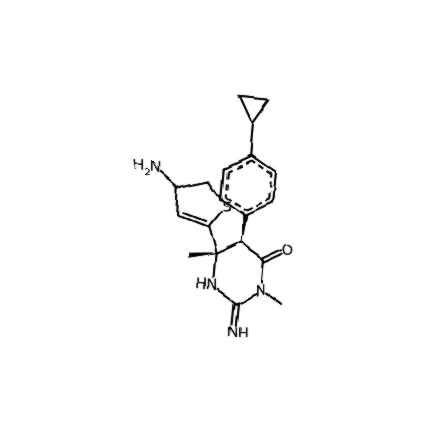 CN1C(=N)N[C@](C)(C2=CC(N)CS2)[C@@H](c2ccc(C3CC3)cc2)C1=O